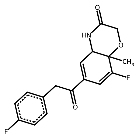 CC12OCC(=O)NC1C=C(C(=O)Cc1ccc(F)cc1)C=C2F